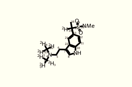 [2H]C([2H])([2H])N(CCc1c[nH]c2ccc(C([2H])(C)S(=O)(=O)NC)cc12)C([2H])([2H])[2H]